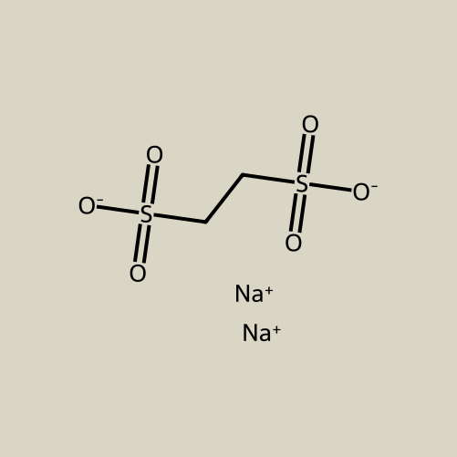 O=S(=O)([O-])CCS(=O)(=O)[O-].[Na+].[Na+]